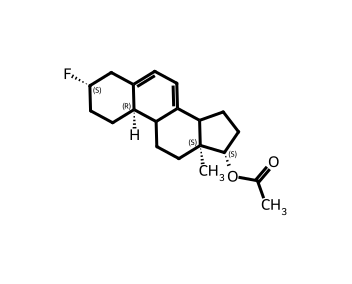 CC(=O)O[C@H]1CCC2C3=CC=C4C[C@@H](F)CC[C@@H]4C3CC[C@@]21C